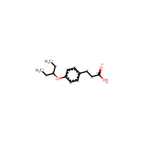 CCC(CC)Oc1ccc(CCC(=O)O)cc1